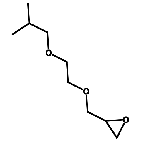 CC(C)COCCOCC1CO1